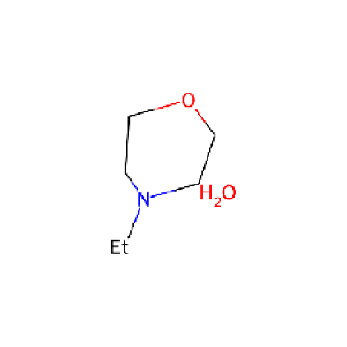 CCN1CCOCC1.O